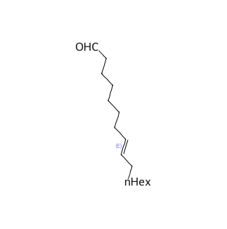 CCCCCCC/C=C/CCCCCCC=O